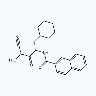 CN(C#N)C(=O)[C@H](CC1CCCCC1)NC(=O)c1ccc2ccccc2c1